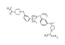 CC(=O)N1CCN(Cc2cccc(C(C)(C)CCC(C)c3cccc(NC4CCN(C(C)C)C4)c3)c2)CC1